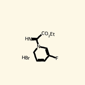 Br.CCOC(=O)C(=N)N1C=C(F)C=CC1